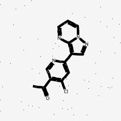 CC(=O)c1cnc(-c2cnn3cccnc23)cc1Cl